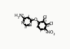 Nc1cc(Oc2ccc([N+](=O)[O-])c(Cl)c2Cl)ncn1